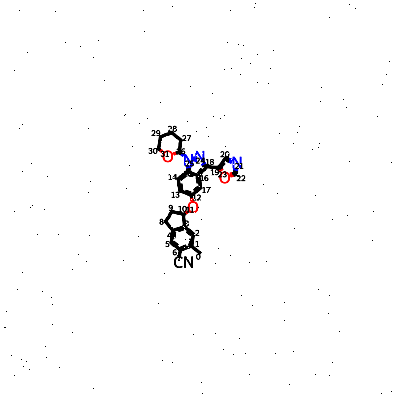 Cc1cc2c(cc1C#N)CCC2Oc1ccc2c(c1)c(-c1cnco1)nn2C1CCCCO1